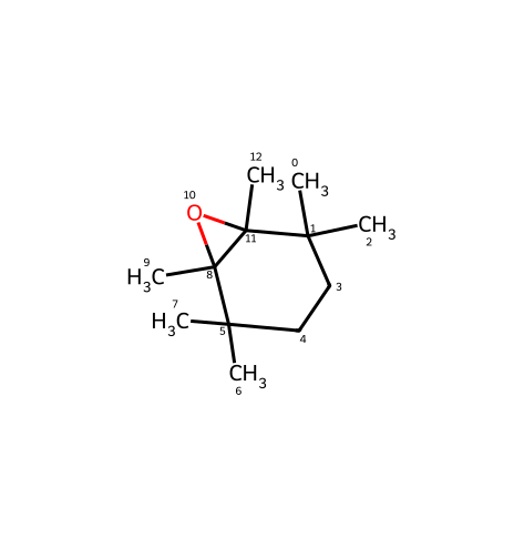 CC1(C)CCC(C)(C)C2(C)OC12C